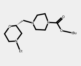 CCN1CCO[C@H](CN2CCN(C(=O)OC(C)(C)C)CC2)C1